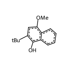 COc1cc(C(C)(C)C)c(O)c2ccccc12